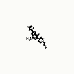 COCCN1CCN(c2nc(N)n3nc(-c4ccco4)nc3c2C)CC1